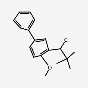 COc1ccc(-c2ccccc2)cc1C(Cl)C(C)(C)C